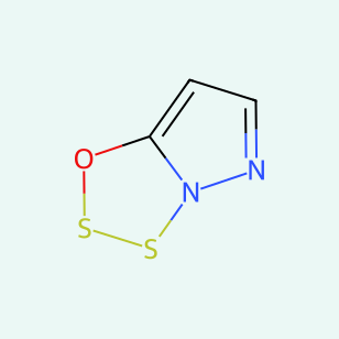 c1cc2n(n1)SSO2